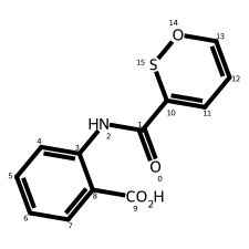 O=C(Nc1ccccc1C(=O)O)C1=CC=COS1